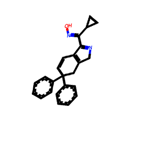 ON=C(C1=NCC2=C1C=CC(c1ccccc1)(c1ccccc1)C2)C1CC1